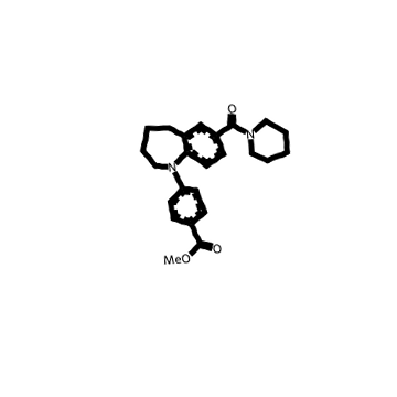 COC(=O)c1ccc(N2CCCCc3cc(C(=O)N4CCCCC4)ccc32)cc1